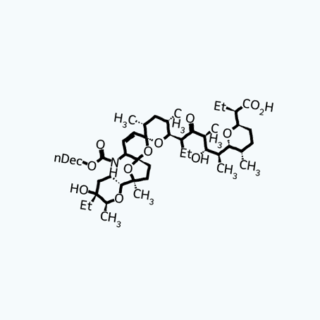 CCCCCCCCCCOC(=O)NC1C=C[C@]2(O[C@H](C(CC)C(=O)[C@@H](C)[C@@H](O)[C@H](C)[C@@H]3O[C@@H]([C@@H](CC)C(=O)O)CC[C@@H]3C)[C@@H](C)C[C@H]2C)O[C@@]12CC[C@@](C)([C@H]1CC[C@](O)(CC)[C@H](C)O1)O2